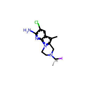 Cc1c2n(c3nc(N)c(Cl)cc13)CCN([C@@H](C)I)C2